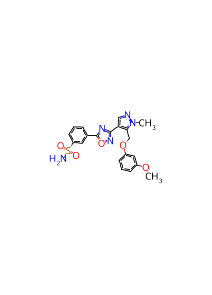 COc1cccc(OCc2c(-c3noc(-c4cccc(S(N)(=O)=O)c4)n3)cnn2C)c1